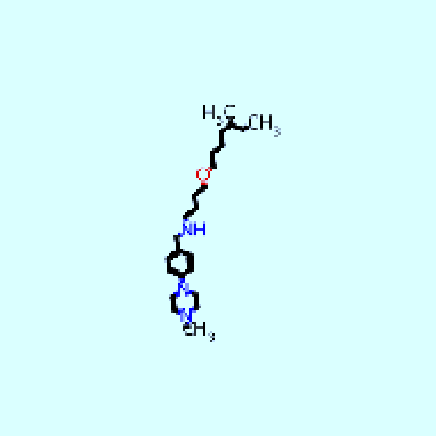 CCC(C)CCCCOCCCCNCc1ccc(N2CCN(C)CC2)cc1